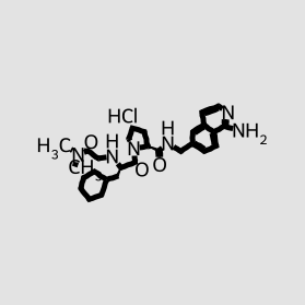 CN(C)C(=O)CN[C@H](CC1CCCCC1)C(=O)N1CCC[C@H]1C(=O)NCc1ccc2c(N)nccc2c1.Cl